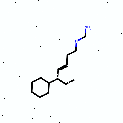 CCC(C=CCCNCN)C1CCCCC1